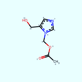 CC(=O)OCn1cncc1CO